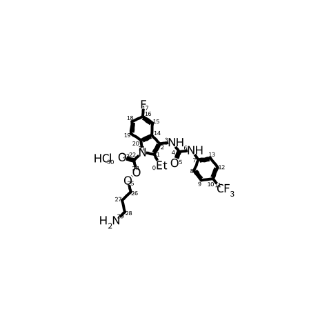 CCc1c(NC(=O)Nc2ccc(C(F)(F)F)cc2)c2cc(F)ccc2n1C(=O)OOCCCN.Cl